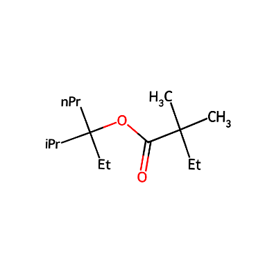 CCCC(CC)(OC(=O)C(C)(C)CC)C(C)C